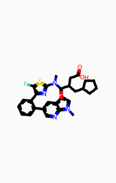 CN(C(=O)C(CC(=O)O)CC1CCCC1)c1nc(-c2ccccc2-c2cnc3c(ccn3C)c2)c(F)s1